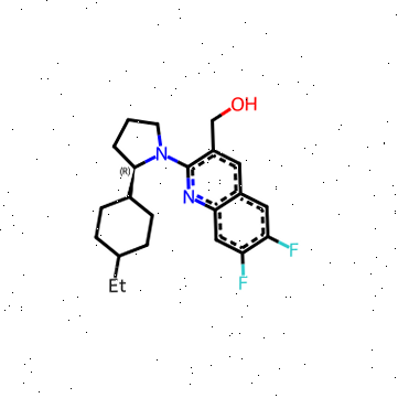 CCC1CCC([C@H]2CCCN2c2nc3cc(F)c(F)cc3cc2CO)CC1